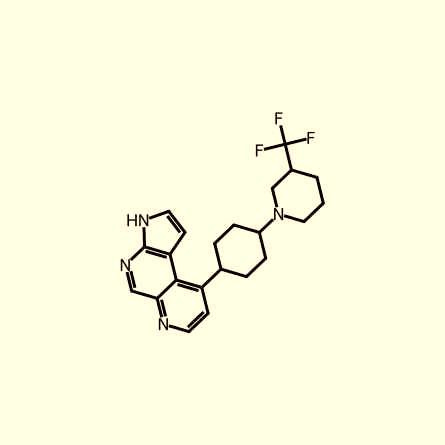 FC(F)(F)C1CCCN(C2CCC(c3ccnc4cnc5[nH]ccc5c34)CC2)C1